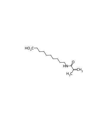 C=C(C)C(=O)NCCCCCCCCCC(=O)O